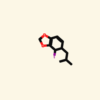 CC(C)CC1C=CC2=C(OCO2)C1I